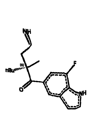 CCCC[C@@](C)(CC=N)C(=O)c1cc(F)c2[nH]ccc2c1